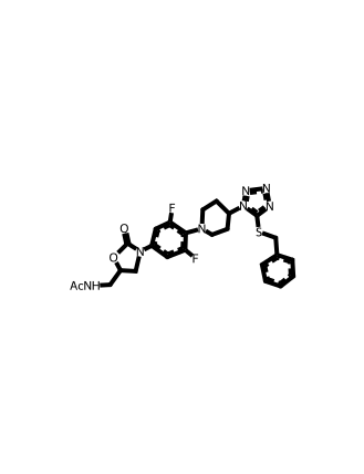 CC(=O)NCC1CN(c2cc(F)c(N3CCC(n4nnnc4SCc4ccccc4)CC3)c(F)c2)C(=O)O1